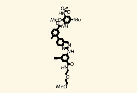 C#Cc1cc(Nc2ncc3cc(-c4cc(C(=O)Nc5cc(C(C)(C)C)cc(NS(C)(=O)=O)c5OC)ccc4C)ccc3n2)cc(C(=O)NCCOCCOC)c1